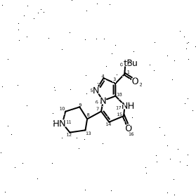 CC(C)(C)C(=O)c1cnn2c(C3CCNCC3)cc(=O)[nH]c12